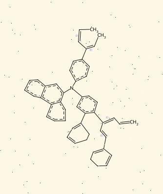 C=C/C=C(\C=C\C1=CCCC=C1)c1ccc(N(c2ccc(C(/C=C\C)=C/C)cc2)c2cc3ccccc3c3ccccc23)cc1C1=CC=CCC1